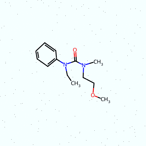 CCN(C(=O)N(C)CCOC)c1ccccc1